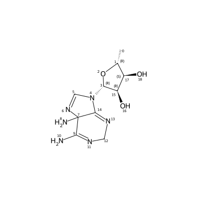 C[C@H]1O[C@@H](N2C=NC3(N)C(N)=NCN=C23)[C@H](O)[C@@H]1O